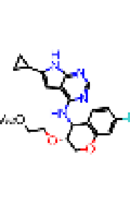 COCCO[C@H]1COc2cc(F)ccc2[C@@H]1Nc1ncnc2[nH]c(C3CC3)cc12